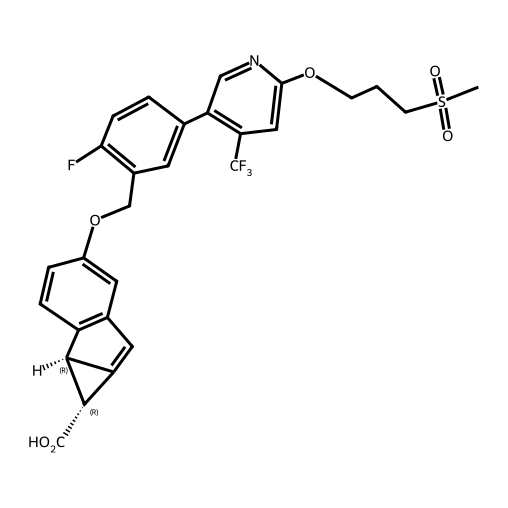 CS(=O)(=O)CCCOc1cc(C(F)(F)F)c(-c2ccc(F)c(COc3ccc4c(c3)C=C3[C@H](C(=O)O)[C@H]34)c2)cn1